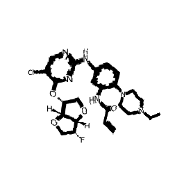 C=CC(=O)Nc1cc(Nc2ncc(Cl)c(O[C@@H]3CO[C@H]4[C@@H]3OC[C@H]4F)n2)ccc1N1CCN(CC)CC1